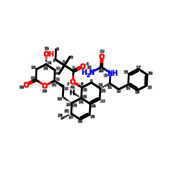 CCC(C)(C)C(=O)O[C@H]1C[C@H](C(Cc2ccccc2)NC(N)=O)C=C2C=C[C@H](C)[C@H](CC[C@@H]3C[C@@H](O)CC(=O)O3)[C@H]21